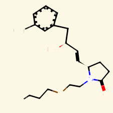 CC(C)(C)c1cccc(C[C@H](O)/C=C/[C@H]2CCC(=O)N2CCSCCCC(=O)O)c1